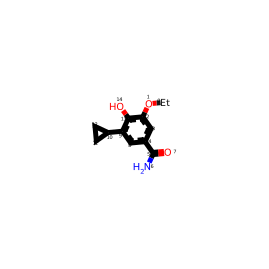 CCOc1cc(C(N)=O)cc(C2CC2)c1O